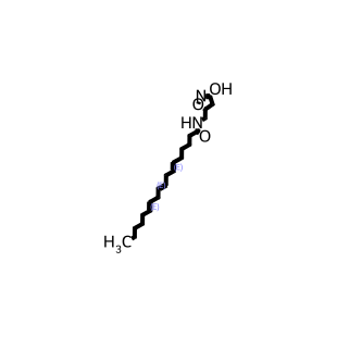 CCCCC/C=C/C/C=C/C/C=C/CCCCC(=O)NCC1CC(O)=NO1